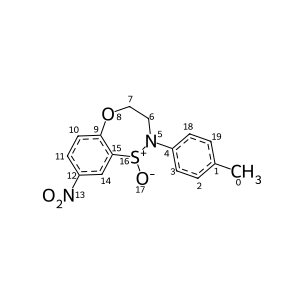 Cc1ccc(N2CCOc3ccc([N+](=O)[O-])cc3[S+]2[O-])cc1